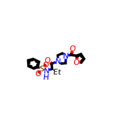 CC[C@H](NS(=O)(=O)c1ccccc1)C(=O)N1CCN(C(=O)c2ccco2)CC1